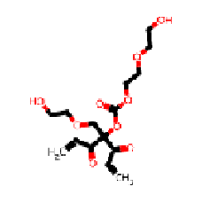 C=CC(=O)C(COCCO)(OC(=O)OCCOCCO)C(=O)C=C